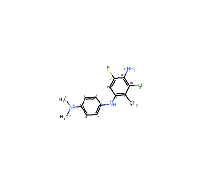 Cc1c(Nc2ccc(N(C)C)cc2)cc(F)c(N)c1Cl